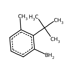 Bc1cccc(C)c1C(C)(C)C